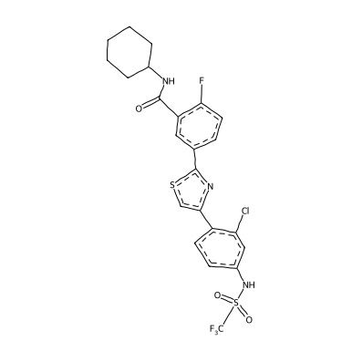 O=C(NC1CCCCC1)c1cc(-c2nc(-c3ccc(NS(=O)(=O)C(F)(F)F)cc3Cl)cs2)ccc1F